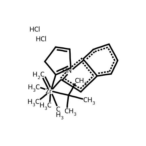 Cl.Cl.[CH2]=[Zr]([CH3])([CH3])([CH3])([CH3])([C]1=CC=CC1)([c]1cc2ccccc2[nH]1)[C](C)(C)C